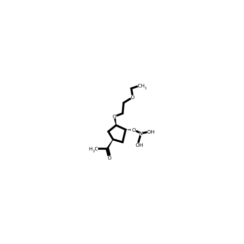 CCOCCO[C@@H]1C[C@H](C(C)=O)C[C@H]1ON(O)O